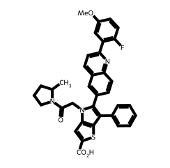 COc1ccc(F)c(-c2ccc3cc(-c4c(-c5ccccc5)c5sc(C(=O)O)cc5n4CC(=O)N4CCCC4C)ccc3n2)c1